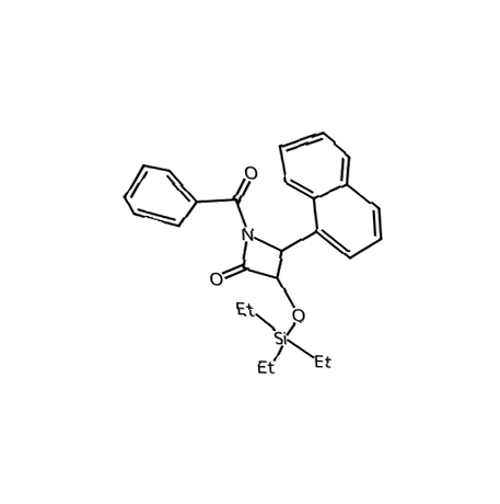 CC[Si](CC)(CC)OC1C(=O)N(C(=O)c2ccccc2)C1c1cccc2ccccc12